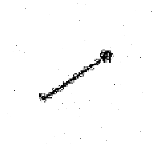 O=C(CN1C(=O)C=CC1=O)NCCOCCOCCOCCOCCOCCOCCOCCOCCOCCOCCC(=O)OF